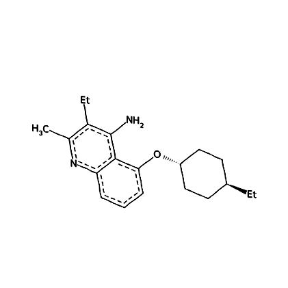 CCc1c(C)nc2cccc(O[C@H]3CC[C@H](CC)CC3)c2c1N